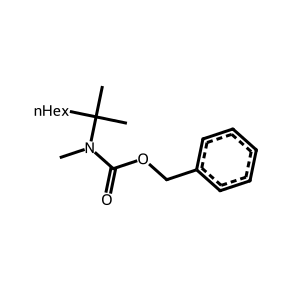 CCCCCCC(C)(C)N(C)C(=O)OCc1ccccc1